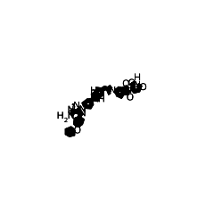 Nc1ncnc2c1c(-c1ccc(Oc3ccccc3)cc1)nn2C1CCC(C2C[C@H]3CC(CC4CN(c5ccc6c(c5)C(=O)N(C5CCC(=O)NC5=O)C6=O)C4)C[C@H]3C2)CC1